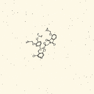 O=C(CN1C(=O)c2cccc(OCC3CC3)c2C1=O)O[C@@H](Cc1c(Cl)cncc1Cl)c1ccc(OC(F)F)c(OCC2CC2)c1